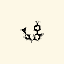 Oc1ccc(-c2nc(Nc3cnn(C4CC4)c3)ncc2Cl)cc1